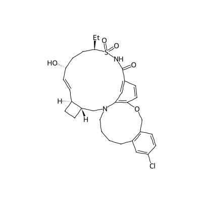 CC[C@@H]1CC[C@@H](O)/C=C/[C@@H]2CC[C@H]2CN2CCCCc3cc(Cl)ccc3COc3ccc(cc32)C(=O)NS1(=O)=O